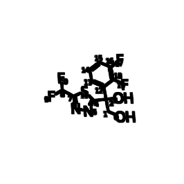 OCC(O)(c1nnc(C(F)F)s1)c1cccc(F)c1F